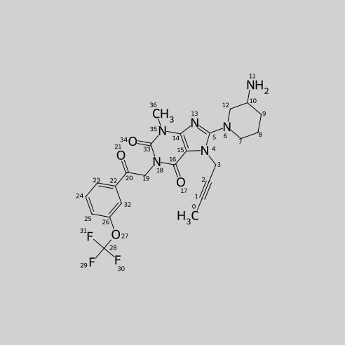 CC#CCn1c(N2CCCC(N)C2)nc2c1c(=O)n(CC(=O)c1cccc(OC(F)(F)F)c1)c(=O)n2C